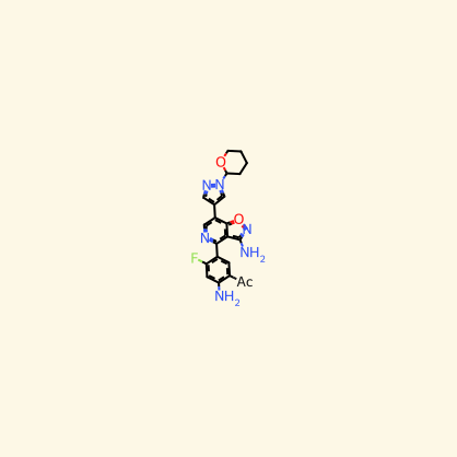 CC(=O)c1cc(-c2ncc(-c3cnn(C4CCCCO4)c3)c3onc(N)c23)c(F)cc1N